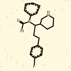 CCC(=O)N(c1ccccc1)C(CCc1ccc(F)cc1)C1CCCNC1